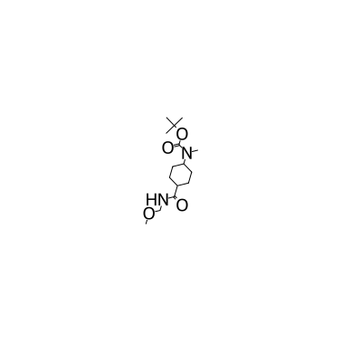 COCNC(=O)C1CCC(N(C)C(=O)OC(C)(C)C)CC1